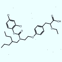 CCCC(CCC)CN(CCOc1ccc(CC(OCC)C(=O)O)cc1)C(=O)Oc1ccc(Cl)cc1Cl